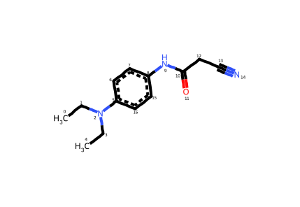 CCN(CC)c1ccc(NC(=O)CC#N)cc1